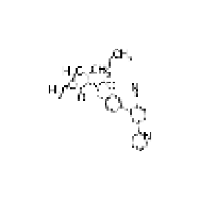 CCCCC(=O)N(Cc1ccc(-c2cc(-c3ccccn3)ccc2C#N)cc1)[C@H](C(=O)OC)C(C)C